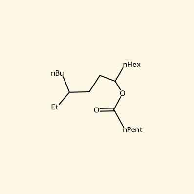 CCCCCCC(CCC(CC)CCCC)OC(=O)CCCCC